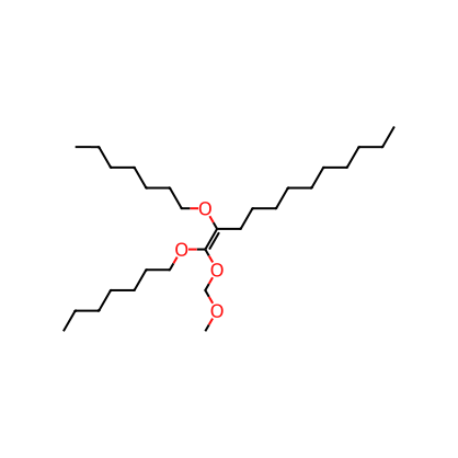 CCCCCCCCCCC(OCCCCCCC)=C(OCCCCCCC)OCOC